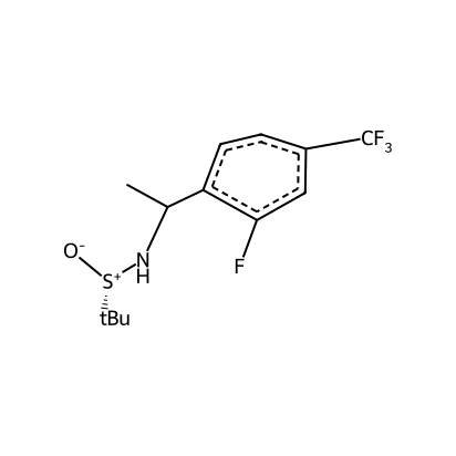 CC(N[S@@+]([O-])C(C)(C)C)c1ccc(C(F)(F)F)cc1F